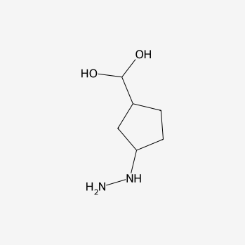 NNC1CCC(C(O)O)C1